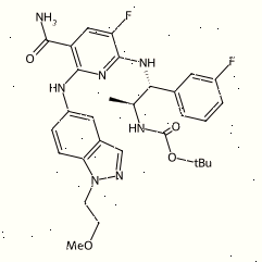 COCCn1ncc2cc(Nc3nc(N[C@H](c4cccc(F)c4)[C@H](C)NC(=O)OC(C)(C)C)c(F)cc3C(N)=O)ccc21